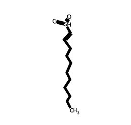 CCCCCCCCCC=C[SH](=O)=O